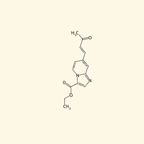 CCOC(=O)c1cnc2cc(/C=C/C(C)=O)ccn12